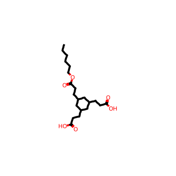 CCCCCCOC(=O)CCC1CC(CCC(=O)O)CC(CCC(=O)O)C1